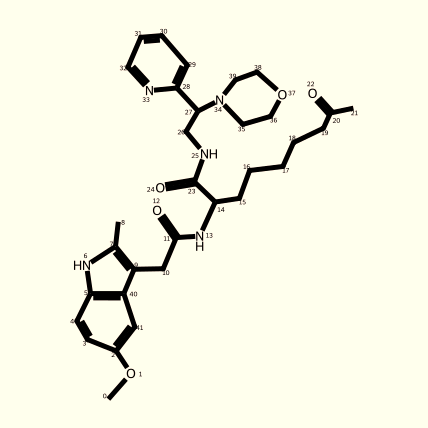 COc1ccc2[nH]c(C)c(CC(=O)NC(CCCCCC(C)=O)C(=O)NCC(c3ccccn3)N3CCOCC3)c2c1